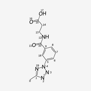 Cc1nnn(-c2cccc(C(=O)NCCC(=O)O)c2)n1